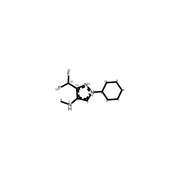 CNc1cn(C2CC[CH]CC2)nc1C(F)F